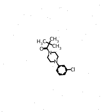 CC(C)(C)C(=O)N1CCN(c2cccc(Cl)c2)CC1